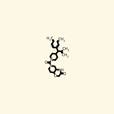 C=C/C=C\C(=C/C=C)C(C(=C)C)C1CCN(C(=O)N2CCC3OCC(=O)NC3C2)CC1